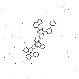 C1=CB2N(C=C1)B1C=C(c3nc(-c4cccc(-c5ccccc5)c4)nc(-c4cccc5ccccc45)n3)C=CN1B1C=C3C(=CN21)C1(c2ccccc23)c2ccccc2-c2ccccc21